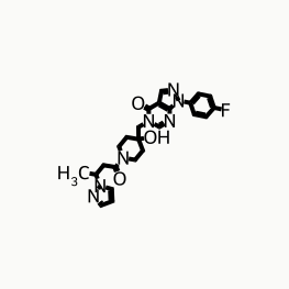 CC(CC(=O)N1CCC(O)(Cn2cnc3c(cnn3-c3ccc(F)cc3)c2=O)CC1)n1cccn1